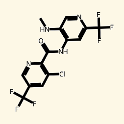 CNc1cnc(C(F)(F)F)cc1NC(=O)c1ncc(C(F)(F)F)cc1Cl